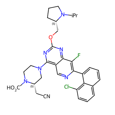 CC(C)N1CCC[C@H]1COc1nc(N2CCN(C(=O)O)[C@@H](CC#N)C2)c2cnc(-c3cccc4cccc(Cl)c34)c(F)c2n1